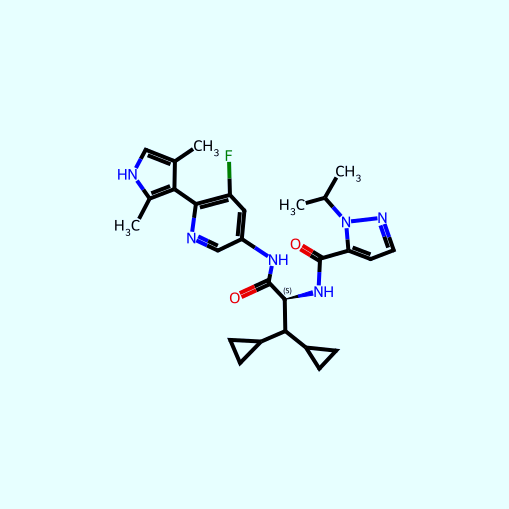 Cc1c[nH]c(C)c1-c1ncc(NC(=O)[C@@H](NC(=O)c2ccnn2C(C)C)C(C2CC2)C2CC2)cc1F